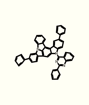 c1ccc(-c2ccc3c(c2)c2c4c5ccccc5n5c6cc(-c7ccccc7)ccc6c(cc2n3-c2nc(-c3ccccc3)nc3ccccc23)c45)cc1